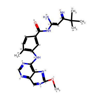 COc1ncc2ncnc(Nc3cc(C(=O)N/C(N)=C/C(=N)C(C)(C)C)ccc3C)c2n1